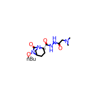 CCCCON1C(=O)N2CC1CC[C@H]2C(=O)NNC(=O)CN(C)C